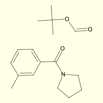 CC(C)(C)OC=O.Cc1cccc(C(=O)N2CCCC2)c1